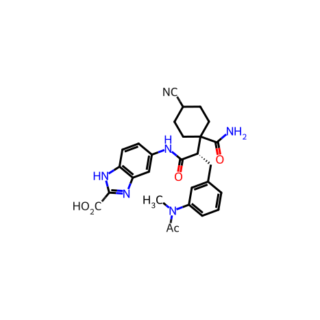 CC(=O)N(C)c1cccc(C[C@H](C(=O)Nc2ccc3[nH]c(C(=O)O)nc3c2)C2(C(N)=O)CCC(C#N)CC2)c1